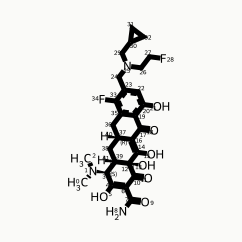 CN(C)[C@@H]1C(O)=C(C(N)=O)C(=O)[C@@]2(O)C(O)=C3C(=O)c4c(O)cc(CN(CCF)CC5CC5)c(F)c4C[C@H]3C[C@@H]12